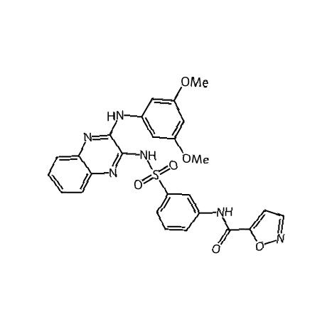 COc1cc(Nc2nc3ccccc3nc2NS(=O)(=O)c2cccc(NC(=O)c3ccno3)c2)cc(OC)c1